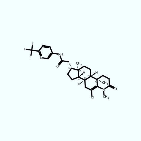 CN1C(=O)CC[C@@]2(C)C1=C(Cl)C[C@H]1[C@@H]3CC[C@H](CC(=O)Nc4ccc(C(F)(F)F)nc4)[C@@]3(C)CC[C@@H]12